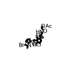 CC(=O)OCC(=O)NCC(=O)N(C)c1ccc(Cl)c(COc2cccn3c(Br)c(C)nc23)c1Cl.Cl